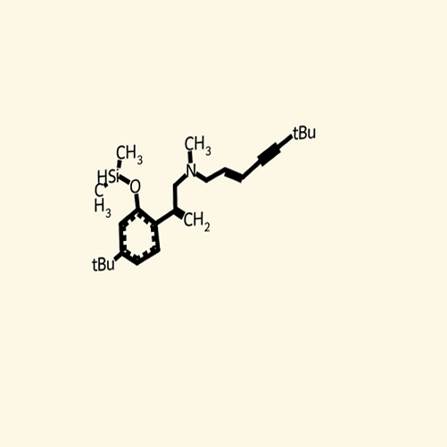 C=C(CN(C)C/C=C/C#CC(C)(C)C)c1ccc(C(C)(C)C)cc1O[SiH](C)C